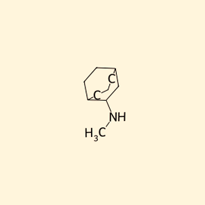 CNC1CC2CCCC1CC2